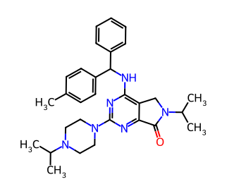 Cc1ccc(C(Nc2nc(N3CCN(C(C)C)CC3)nc3c2CN(C(C)C)C3=O)c2ccccc2)cc1